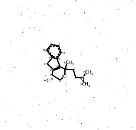 CN(C)CCC1(C)OCCC2=C1c1ccccc1C2.Cl